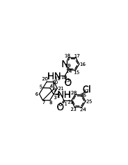 O=C(N[C@]12CC3CC(C1)C[C@@](NC(=O)c1ccccn1)(C3)C2)c1cccc(Cl)c1